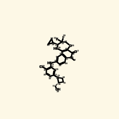 Cn1c(=O)c2c(c3cc(Nc4nc(N5CC[C@@H]5CO)ncc4Cl)ccc31)N[C@@H](C1CC1)C(F)(F)CO2